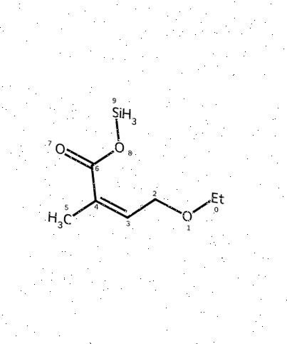 CCOCC=C(C)C(=O)O[SiH3]